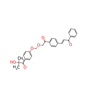 CC(C)(O)C(=O)c1ccc(OCOCC(=O)c2ccc(/C=C/C(=O)c3ccccc3)cc2)cc1